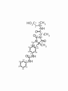 C[C@H](CC(=O)O)NC(=O)[C@H](C)N1C(=O)N(Cc2ccc(NC(=O)Nc3ccccc3)cc2)C(C)(C)C1=O